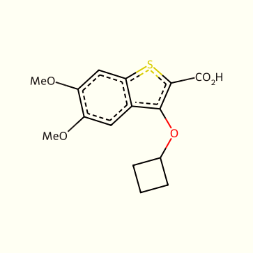 COc1cc2sc(C(=O)O)c(OC3CCC3)c2cc1OC